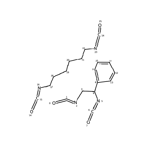 O=C=NCC(N=C=O)c1ccccc1.O=C=NCCCCCCN=C=O